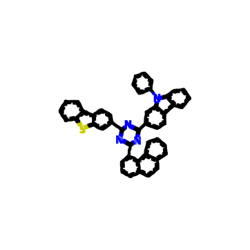 c1ccc(-n2c3ccccc3c3ccc(-c4nc(-c5ccc6c(c5)sc5ccccc56)nc(-c5cccc6ccc7ccccc7c56)n4)cc32)cc1